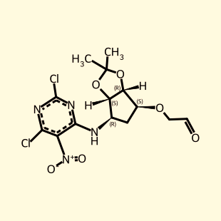 CC1(C)O[C@@H]2[C@H](O1)[C@@H](OCC=O)C[C@H]2Nc1nc(Cl)nc(Cl)c1[N+](=O)[O-]